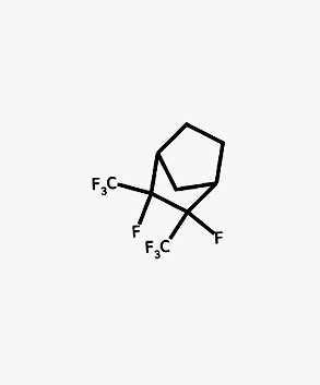 FC(F)(F)C1(F)C2CCC(C2)C1(F)C(F)(F)F